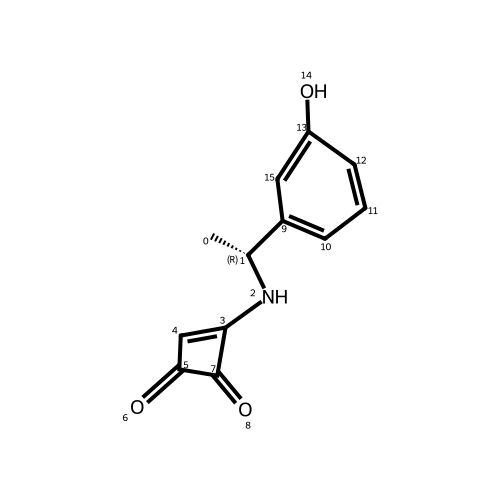 C[C@@H](Nc1cc(=O)c1=O)c1cccc(O)c1